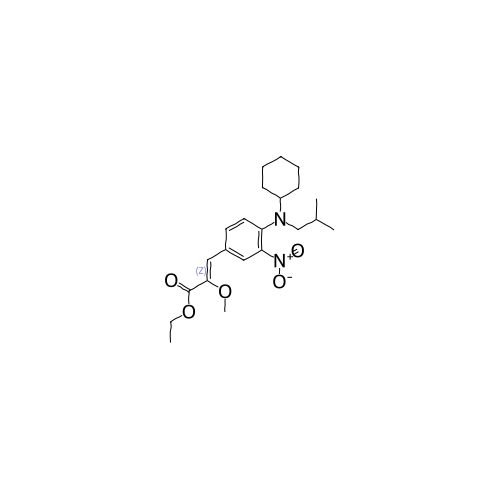 CCOC(=O)/C(=C/c1ccc(N(CC(C)C)C2CCCCC2)c([N+](=O)[O-])c1)OC